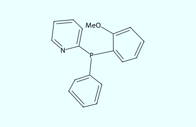 COc1ccccc1P(c1ccccc1)c1ccccn1